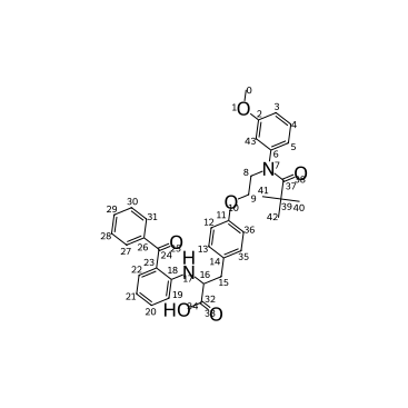 COc1cccc(N(CCOc2ccc(CC(Nc3ccccc3C(=O)c3ccccc3)C(=O)O)cc2)C(=O)C(C)(C)C)c1